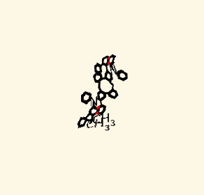 CC1(C)c2ccccc2-c2cc(N(c3ccccc3)c3cc4c(cc3-c3ccccc3)-c3ccccc3Cc3cc(N(c5ccccc5)c5ccccc5)c(-c5ccccc5-c5ccccc5)cc3-c3ccccc3C4)ccc21